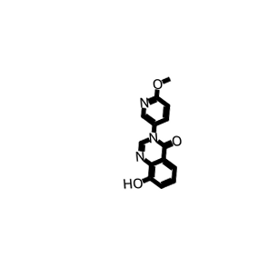 COc1ccc(-n2cnc3c(O)cccc3c2=O)cn1